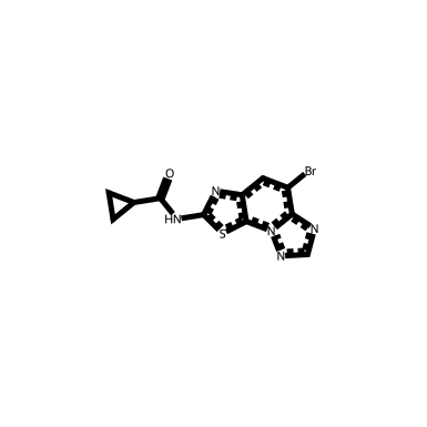 O=C(Nc1nc2cc(Br)c3ncnn3c2s1)C1CC1